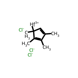 CC1=C[C](C)([Hf+3])C(C)=C1C.[Cl-].[Cl-].[Cl-]